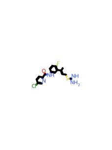 C/C(=C\CSC(=N)N)c1cc(NC(=O)c2ccc(Cl)cn2)ccc1F